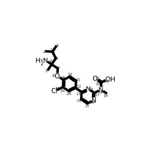 CC(C)CC(C)(N)COc1ccc(-c2ccnc(N(C)C(=O)O)n2)cc1Cl